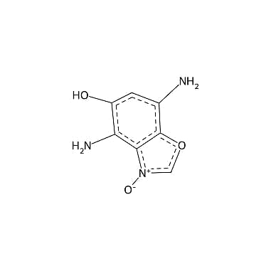 Nc1cc(O)c(N)c2c1oc[n+]2[O-]